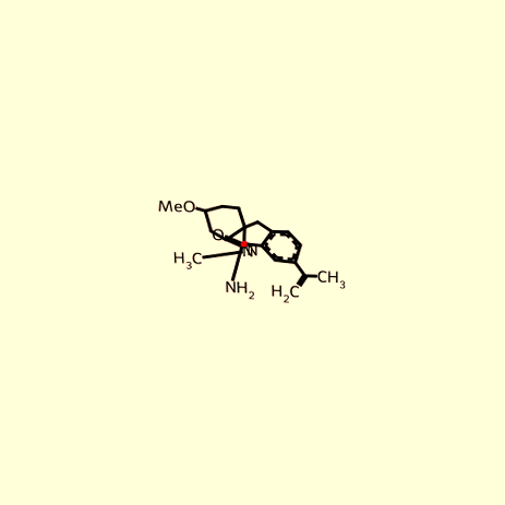 C=C(C)c1ccc2c(c1)C1(N=C(N)N(C)C1=O)C1(CCC(OC)CC1)C2